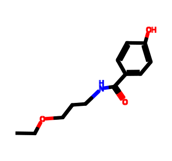 CCOCCCNC(=O)c1ccc(O)cc1